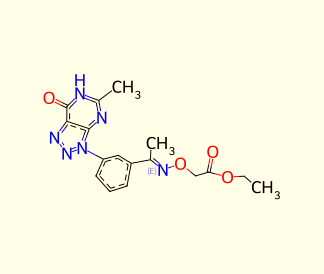 CCOC(=O)CO/N=C(\C)c1cccc(-n2nnc3c(=O)[nH]c(C)nc32)c1